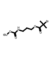 CC(C)(C)OC(=O)NCCCOC(=O)C(C)(C)Br